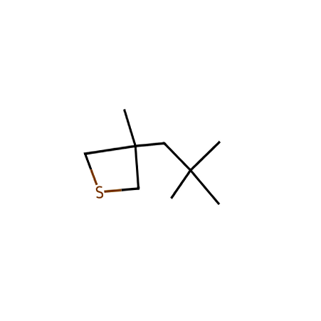 CC(C)(C)CC1(C)CSC1